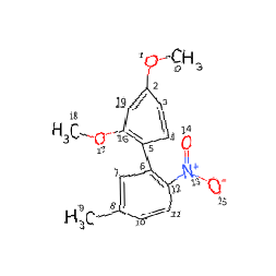 COc1ccc(-c2cc(C)[c]cc2[N+](=O)[O-])c(OC)c1